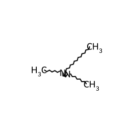 CCCCCCCCCCCCCC1N(CCCCCCC)C=CN1CCCCCCCC